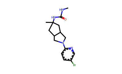 CNC(=O)NC1(C)CC2CN(c3ccc(Br)cn3)CC2C1